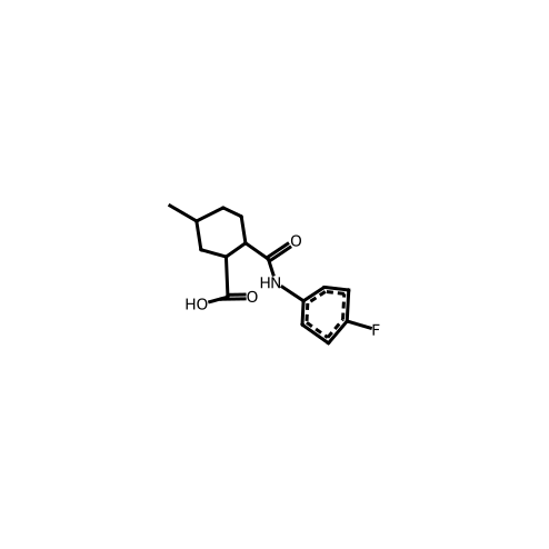 CC1CCC(C(=O)Nc2ccc(F)cc2)C(C(=O)O)C1